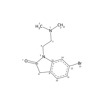 CN(C)CCN1C(=O)Cc2ccc(Br)cc21